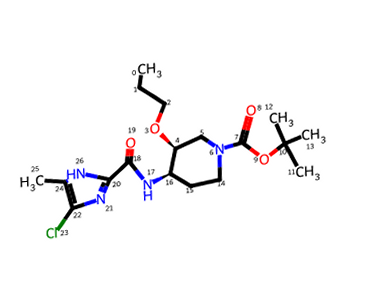 CCCO[C@H]1CN(C(=O)OC(C)(C)C)CC[C@H]1NC(=O)c1nc(Cl)c(C)[nH]1